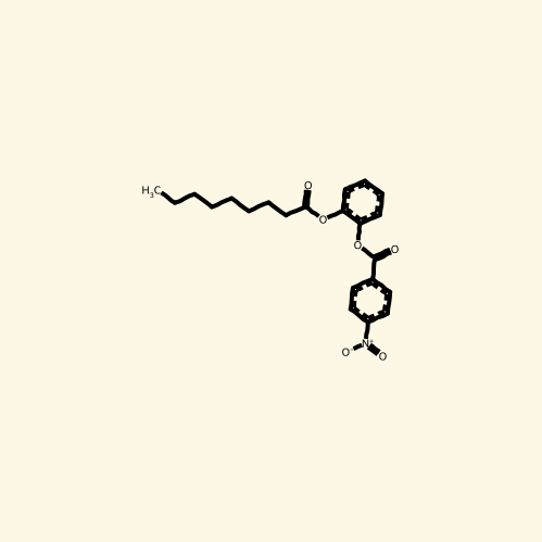 CCCCCCCCC(=O)Oc1ccccc1OC(=O)c1ccc([N+](=O)[O-])cc1